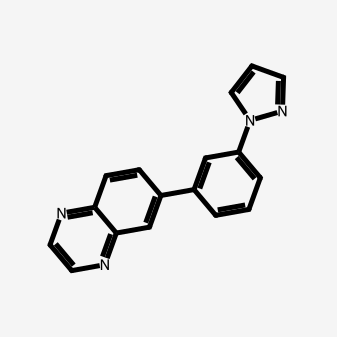 c1cc(-c2ccc3nccnc3c2)cc(-n2cccn2)c1